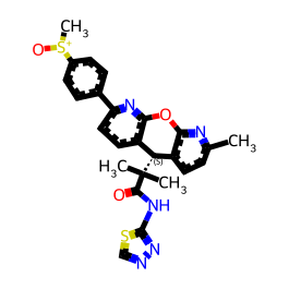 Cc1ccc2c(n1)Oc1nc(-c3ccc([S+](C)[O-])cc3)ccc1[C@H]2C(C)(C)C(=O)Nc1nncs1